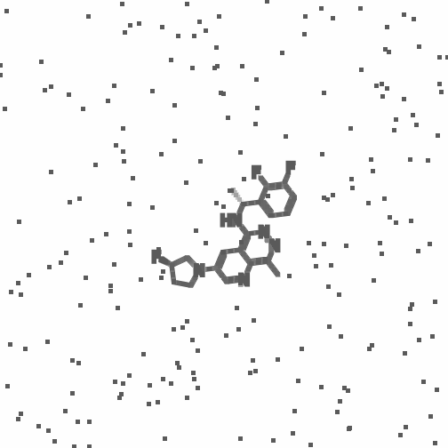 Cc1nnc(N[C@H](C)c2cccc(F)c2F)c2cc(N3CC[C@@H](F)C3)cnc12